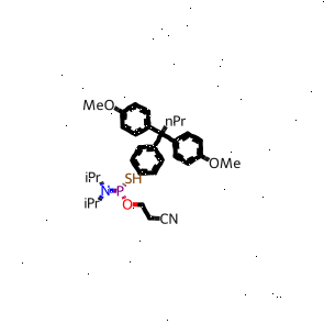 CC(C)N(C(C)C)P(S)OCCC#N.CCCC(c1ccccc1)(c1ccc(OC)cc1)c1ccc(OC)cc1